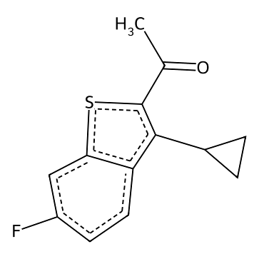 CC(=O)c1sc2cc(F)ccc2c1C1CC1